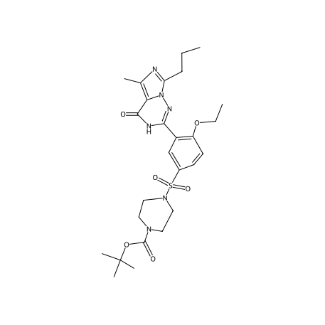 CCCc1nc(C)c2c(=O)[nH]c(-c3cc(S(=O)(=O)N4CCN(C(=O)OC(C)(C)C)CC4)ccc3OCC)nn12